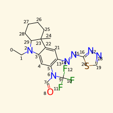 CCN1c2cc(N(C=O)C(F)(F)F)c(N=Nc3nncs3)cc2C2(C)CCCCC12